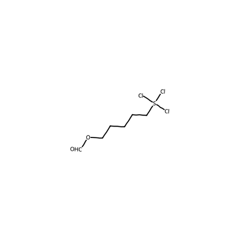 O=COCCCCCS(Cl)(Cl)Cl